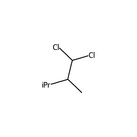 CC(C)C(C)C(Cl)Cl